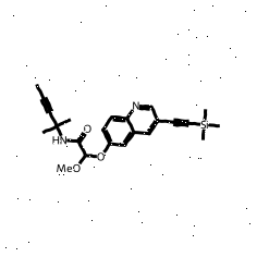 CC#CC(C)(C)NC(=O)C(OC)Oc1ccc2ncc(C#C[Si](C)(C)C)cc2c1